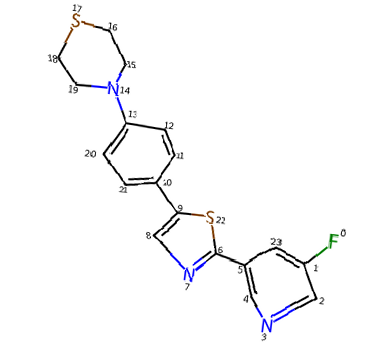 Fc1cncc(-c2ncc(-c3ccc(N4CCSCC4)cc3)s2)c1